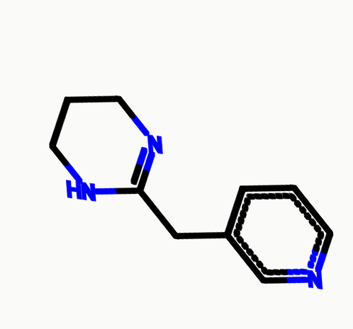 c1cncc(CC2=NCCCN2)c1